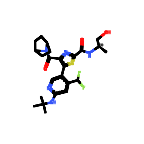 C[C@H](CO)NC(=O)c1nc(C(=O)N2C3CCC2CC3)c(-c2cnc(NC(C)(C)C)cc2C(F)F)s1